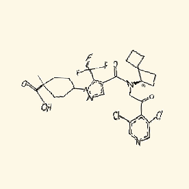 CC1(C(=O)O)CCC(n2ncc(C(=O)N(CC(=O)c3c(Cl)cncc3Cl)[C@@H]3CCC34CCC4)c2C(F)(F)F)CC1